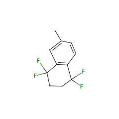 Cc1ccc2c(c1)C(F)(F)CCC2(F)F